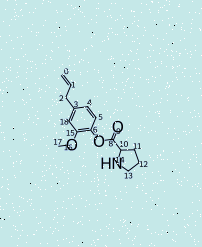 C=CCc1ccc(OC(=O)C2CCCN2)c(OC)c1